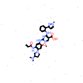 C=CC(=O)Nc1cc(Nc2ncc(C(=O)O)c(Nc3ccccc3-c3ccn(C)n3)n2)c(OC)cc1N1CCC(N(C)C)C1